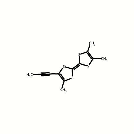 CC#CC1=C(C)SC(=C2SC(C)=C(C)S2)S1